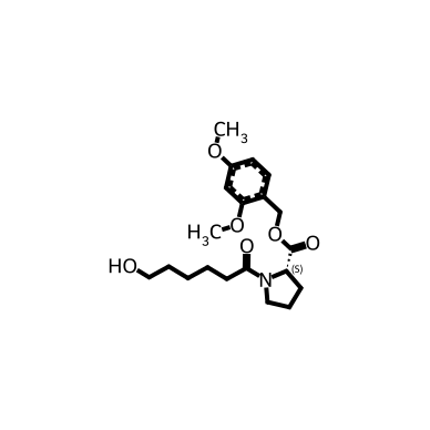 COc1ccc(COC(=O)[C@@H]2CCCN2C(=O)CCCCCO)c(OC)c1